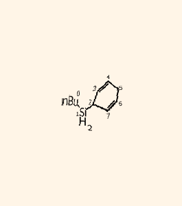 CCCC[SiH2]C1C=CCC=C1